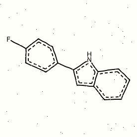 Fc1ccc(-c2cc3[c]cccc3[nH]2)cc1